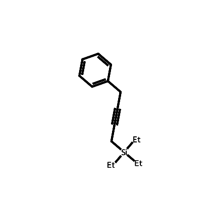 CC[Si](CC)(CC)CC#CCc1ccccc1